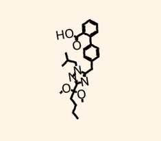 CCCCC(OC)(OC)c1nc(Cc2ccc(-c3ccccc3C(=O)O)cc2)n(CC(C)C)n1